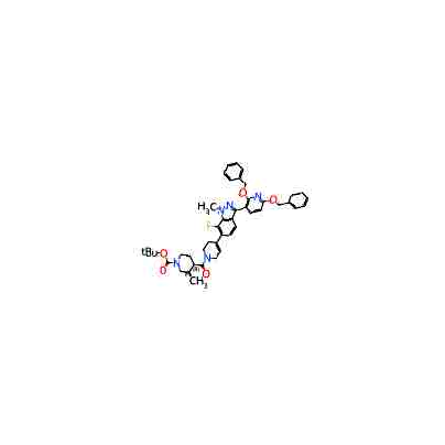 C[C@H]1CN(C(=O)OC(C)(C)C)CC[C@H]1C(=O)N1CC=C(c2ccc3c(-c4ccc(OCc5ccccc5)nc4OCc4ccccc4)nn(C)c3c2F)CC1